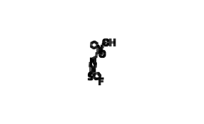 O=C(CCCN1CCN(c2csc3cc(F)ccc23)CC1)N(CCO)C1CCCCC1